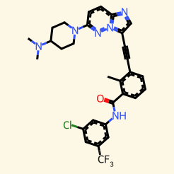 Cc1c(C#Cc2cnc3ccc(N4CCC(N(C)C)CC4)nn23)cccc1C(=O)Nc1cc(Cl)cc(C(F)(F)F)c1